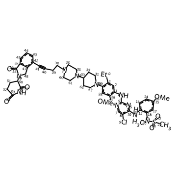 CCc1cc(Nc2ncc(Cl)c(Nc3ccc(OC)cc3N(C)S(C)(=O)=O)n2)c(OC)cc1N1CCC(N2CCN(CCC#Cc3cccc4c3CN(C3CCC(=O)NC3=O)C4=O)CC2)CC1